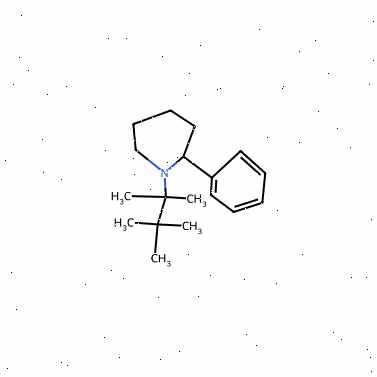 CC(C)(C)C(C)(C)N1CCCCC1c1ccccc1